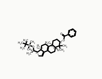 C[C@@H](O[Si](C)(C)C(C)(C)C)[C@H]1CC=C2C3=C(CC[C@@]21C)[C@@]1(C)CC[C@H](OC(=O)c2ccccc2)C(C)(C)[C@@H]1CC3